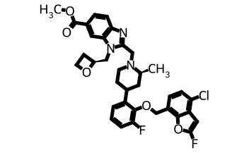 COC(=O)c1ccc2nc(CN3CCC(c4cccc(F)c4OCc4ccc(Cl)c5cc(F)oc45)C[C@@H]3C)n(C[C@@H]3CCO3)c2c1